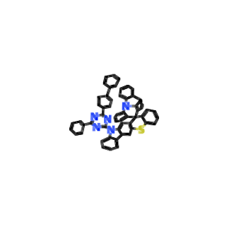 c1ccc(-c2ccc(-c3nc(-c4ccccc4)nc(-n4c5ccccc5c5cc6c(cc54)C4(c5ccccc5S6)c5ccccc5-n5c6ccccc6c6cccc4c65)n3)cc2)cc1